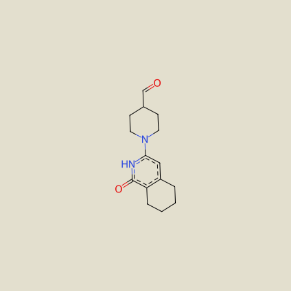 O=CC1CCN(c2cc3c(c(=O)[nH]2)CCCC3)CC1